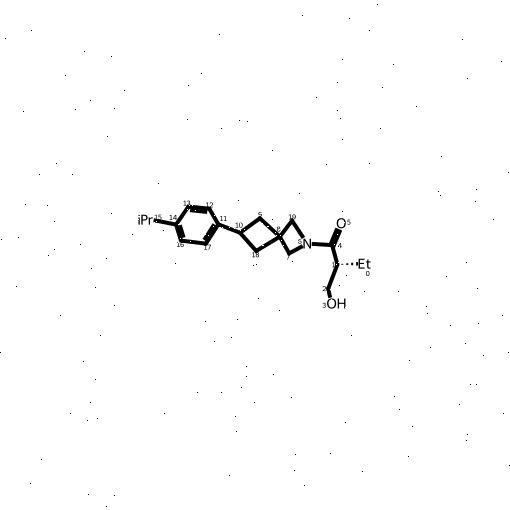 CC[C@H](CO)C(=O)N1CC2(CC(c3ccc(C(C)C)cc3)C2)C1